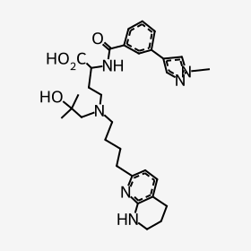 Cn1cc(-c2cccc(C(=O)NC(CCN(CCCCc3ccc4c(n3)NCCC4)CC(C)(C)O)C(=O)O)c2)cn1